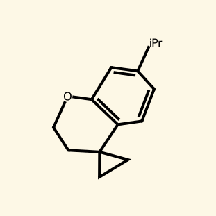 CC(C)c1ccc2c(c1)OCCC21CC1